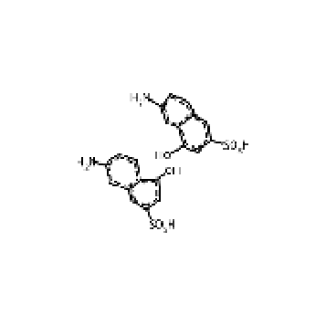 Nc1ccc2c(O)cc(S(=O)(=O)O)cc2c1.Nc1ccc2cc(S(=O)(=O)O)cc(O)c2c1